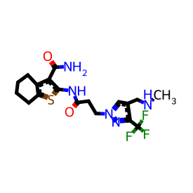 CNCc1cn(CCC(=O)Nc2sc3c(c2C(N)=O)CCCC3)nc1C(F)(F)F